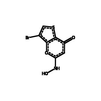 O=c1cc(NO)oc2c(Br)csc12